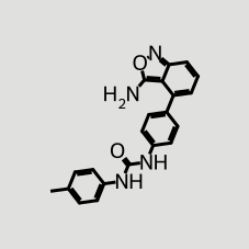 Cc1ccc(NC(=O)Nc2ccc(-c3cccc4noc(N)c34)cc2)cc1